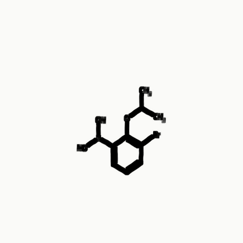 CC(C)Oc1c(Br)cccc1B(O)O